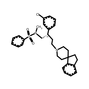 CN(C[C@@H](CCN1CCC2(CCc3ccccc32)CC1)c1cccc(Cl)c1)S(=O)(=O)c1ccccc1